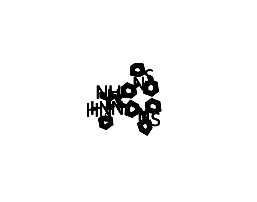 C=C(Nc1ccccc1)/C(C=N)=N\C(=C(/N)c1ccc(N2c3ccccc3Sc3ccccc32)cc1)c1ccc(N2c3ccccc3Sc3ccccc32)cc1